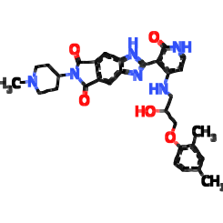 Cc1ccc(OCC(O)CNc2cc[nH]c(=O)c2-c2nc3cc4c(cc3[nH]2)C(=O)N(C2CCN(C)CC2)C4=O)c(C)c1